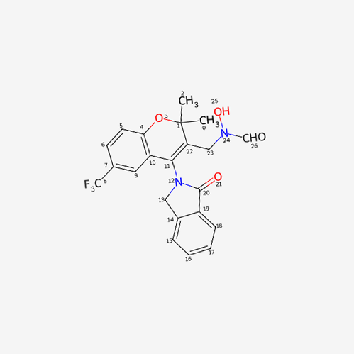 CC1(C)Oc2ccc(C(F)(F)F)cc2C(N2Cc3ccccc3C2=O)=C1CN(O)C=O